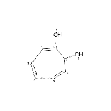 OC1=CC=CC=CC1O